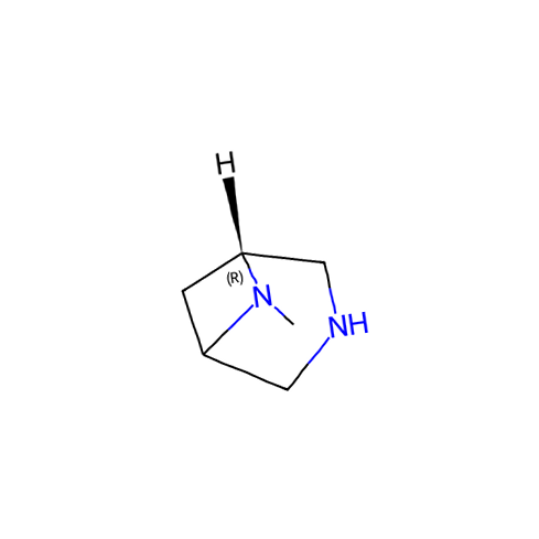 CN1C2CNC[C@H]1C2